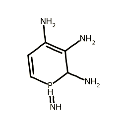 N=[PH]1C=CC(N)=C(N)C1N